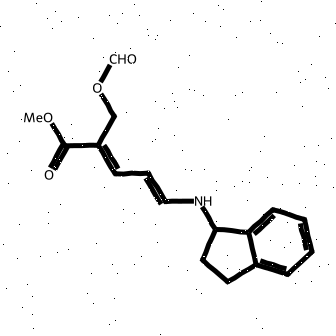 COC(=O)/C(=C/C=C/NC1CCc2ccccc21)COC=O